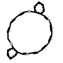 C1=C\C=C/N=C\c2ccccc2O\C=C/C=C\C=C/COc2ccccc2/C=N\C=C\C=C/1